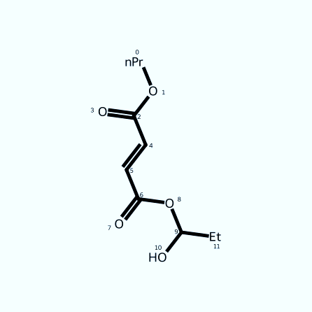 CCCOC(=O)C=CC(=O)OC(O)CC